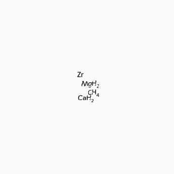 C.[CaH2].[MgH2].[Zr]